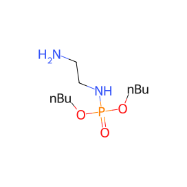 CCCCOP(=O)(NCCN)OCCCC